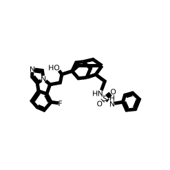 O=S(=O)(NCC1C2CC3CC1CC(C(O)CC1c4c(F)cccc4-c4cncn41)(C3)C2)Nc1ccccc1